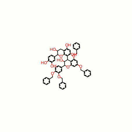 Oc1ccc(C2Oc3c(c(O)cc(O)c3C3c4c(OCc5ccccc5)cc(OCc5ccccc5)cc4OC(c4ccc(OCc5ccccc5)c(OCc5ccccc5)c4)C3O)CC2O)cc1O